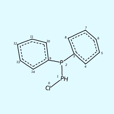 ClPP(c1ccccc1)c1ccccc1